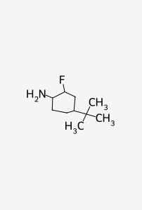 CC(C)(C)C1CCC(N)C(F)C1